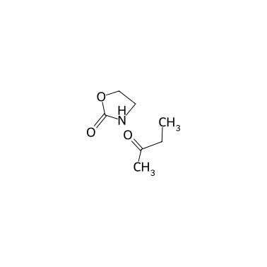 CCC(C)=O.O=C1NCCO1